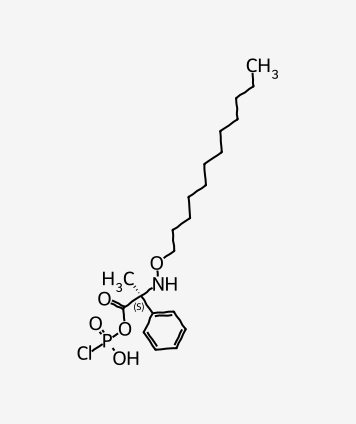 CCCCCCCCCCCCON[C@](C)(C(=O)OP(=O)(O)Cl)c1ccccc1